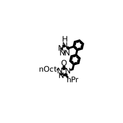 CCCCCCCCn1nc(CCC)n(Cc2ccc(-c3ccccc3-c3nnn[nH]3)cc2)c1=O